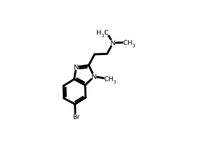 CN(C)CCc1nc2ccc(Br)cc2n1C